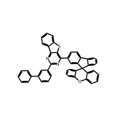 c1ccc(-c2cccc(-c3nc(-c4ccc5c(c4)C4(c6ccccc6Oc6ccccc64)c4ccccc4-5)c4sc5ccccc5c4n3)c2)cc1